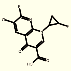 O=C(O)c1cn(C2CC2F)c2nc(F)c(Cl)cc2c1=O